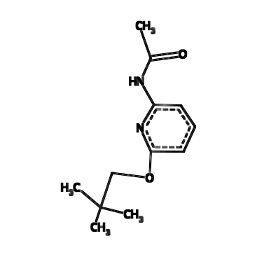 CC(=O)Nc1cccc(OCC(C)(C)C)n1